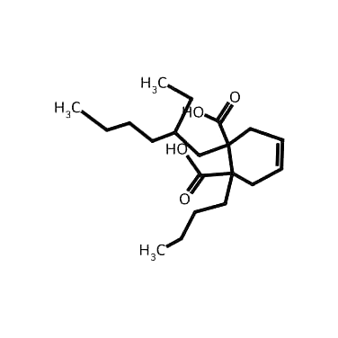 CCCCC(CC)CC1(C(=O)O)CC=CCC1(CCCC)C(=O)O